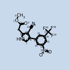 COC(=O)Cc1[nH]cc(-c2cc([N+](=O)[O-])cc(C(F)(F)F)c2)c1C#N